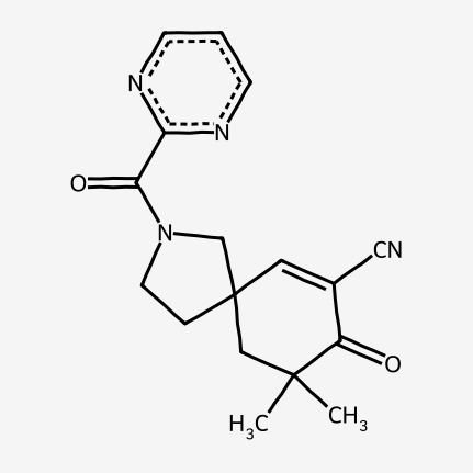 CC1(C)CC2(C=C(C#N)C1=O)CCN(C(=O)c1ncccn1)C2